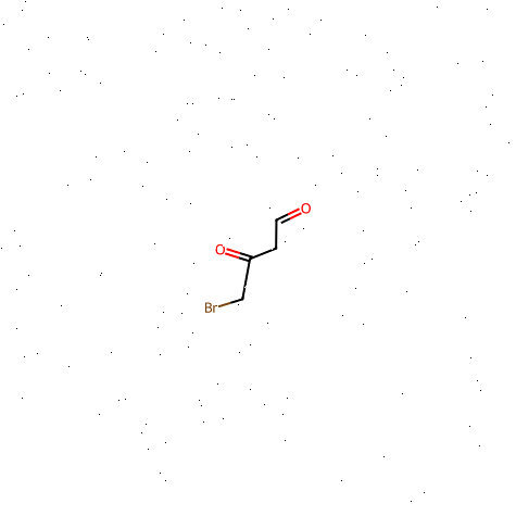 O=CCC(=O)CBr